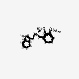 COc1cccc(CN(C)CCc2c[nH]c3ccccc23)c1OC